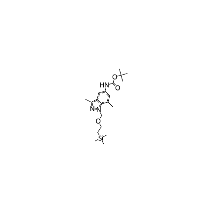 Cc1nn(COCC[Si](C)(C)C)c2c(C)cc(NC(=O)OC(C)(C)C)cc12